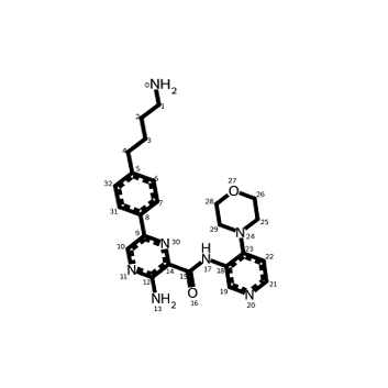 NCCCCc1ccc(-c2cnc(N)c(C(=O)Nc3cnccc3N3CCOCC3)n2)cc1